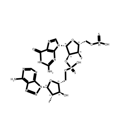 Nc1nc2c(ncn2[C@@H]2O[C@H](CO[PH](O)=S)[C@@H](F)[C@H]2OP(O)(=S)OC[C@H]2O[C@@H](n3nnc4c(N)ncnc43)[C@@H](F)[C@@H]2O)c(=O)[nH]1